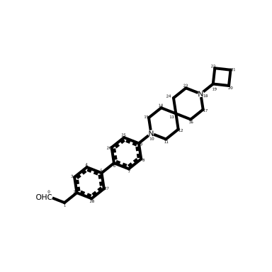 O=CCc1ccc(-c2ccc(N3CCC4(CC3)CCN(C3CCC3)CC4)cc2)cc1